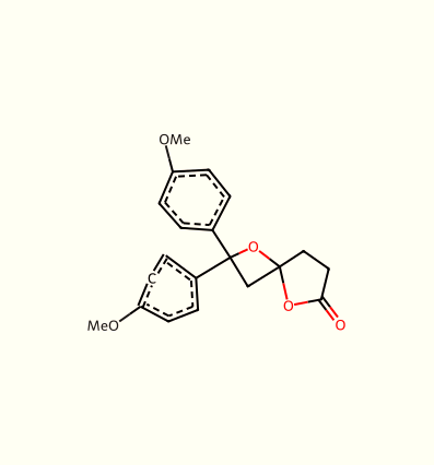 COc1ccc(C2(c3ccc(OC)cc3)CC3(CCC(=O)O3)O2)cc1